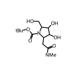 CNC(=O)CC1C(O)C(O)C(CO)N1C(=O)OC(C)(C)C